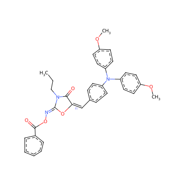 CCCN1C(=O)/C(=C\c2ccc(N(c3ccc(OC)cc3)c3ccc(OC)cc3)cc2)OC1=NOC(=O)c1ccccc1